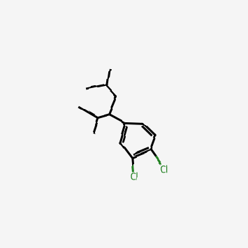 CC(C)CC(c1ccc(Cl)c(Cl)c1)C(C)C